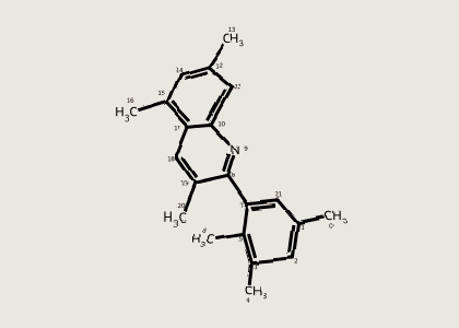 Cc1cc(C)c(C)c(-c2nc3cc(C)cc(C)c3cc2C)c1